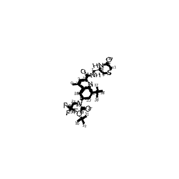 Cc1cc(C(=O)NC[C@@H]2CSCC(=O)N2)nc2c1=CC(N(CC(F)(F)F)C(=O)OC(C)(C)C)CC=2C(C)(C)C